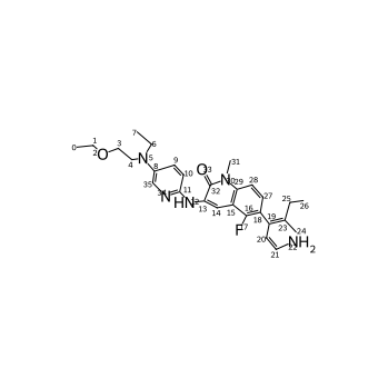 CCOCCN(CC)c1ccc(Nc2cc3c(F)c(C(/C=C\N)=C(/C)CC)ccc3n(C)c2=O)nc1